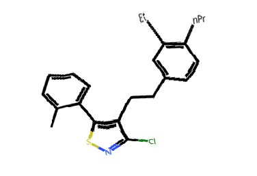 CCCc1ccc(CCc2c(Cl)nsc2-c2ccccc2C)cc1CC